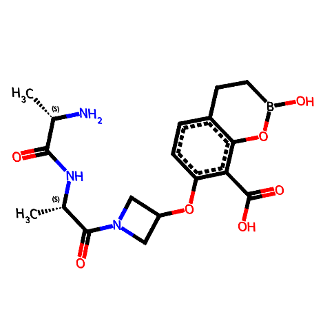 C[C@H](N)C(=O)N[C@@H](C)C(=O)N1CC(Oc2ccc3c(c2C(=O)O)OB(O)CC3)C1